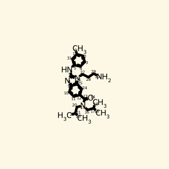 Cc1cccc(Nc2nc3ccc(C(=O)N(CC(C)C)CC(C)C)cc3n2CCCN)c1